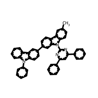 Cc1ccc2c(c1)c1ccc(-c3ccc4c(c3)c3ccccc3n4-c3ccccc3)cc1n2-c1nc(-c2ccccc2)cc(-c2ccccc2)n1